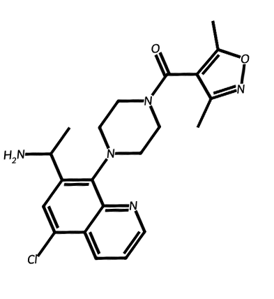 Cc1noc(C)c1C(=O)N1CCN(c2c(C(C)N)cc(Cl)c3cccnc23)CC1